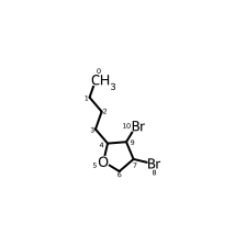 CCCCC1OCC(Br)C1Br